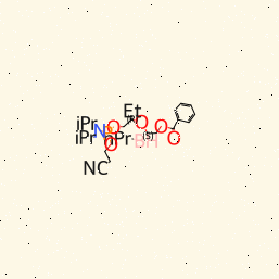 CCCB[C@@H](COC(=O)c1ccccc1)O[C@H](CC)COP(OCCC#N)N(C(C)C)C(C)C